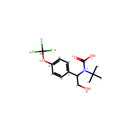 CC(C)(C)N(C(=O)O)C(CO)c1ccc(OC(F)(F)F)cc1